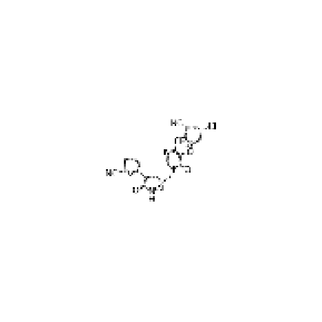 N#Cc1cc(Cl)cc(Oc2c(C(F)(F)F)ncn(Cc3cc(-c4cccc(C#N)c4)c(=O)[nH]n3)c2=O)c1